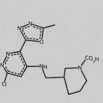 Cc1nnc(-c2nnc(Cl)cc2NCC2CCCN(C(=O)O)C2)o1